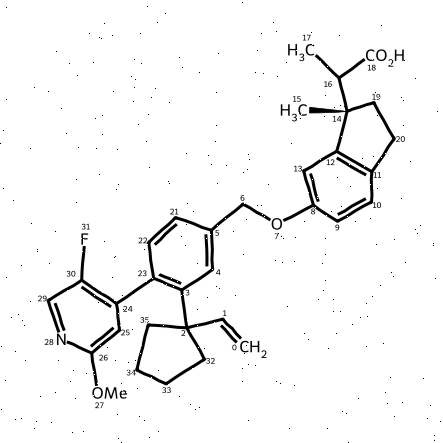 C=CC1(c2cc(COc3ccc4c(c3)[C@](C)(C(C)C(=O)O)CC4)ccc2-c2cc(OC)ncc2F)CCCC1